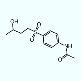 CC(=O)Nc1ccc(S(=O)(=O)CCC(C)O)cc1